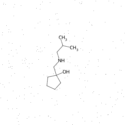 CC(C)CNCC1(O)CCCC1